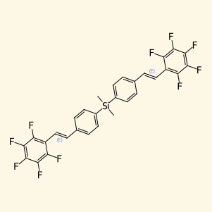 C[Si](C)(c1ccc(/C=C/c2c(F)c(F)c(F)c(F)c2F)cc1)c1ccc(/C=C/c2c(F)c(F)c(F)c(F)c2F)cc1